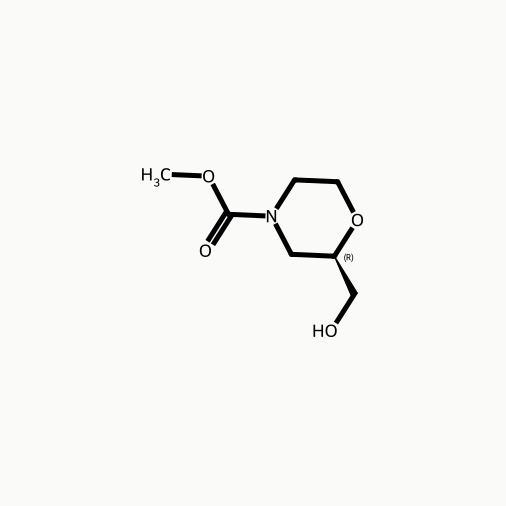 COC(=O)N1CCO[C@@H](CO)C1